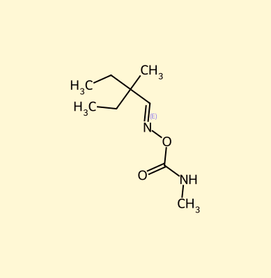 CCC(C)(/C=N/OC(=O)NC)CC